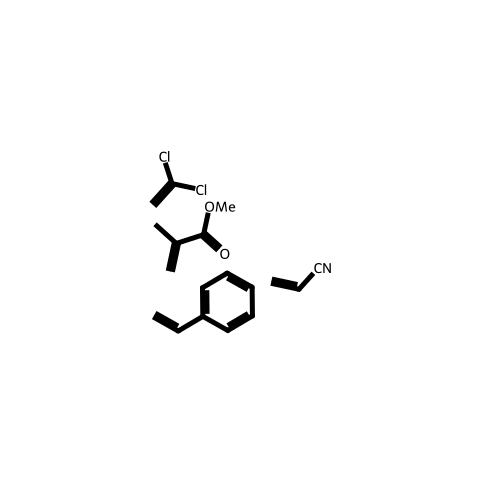 C=C(C)C(=O)OC.C=C(Cl)Cl.C=CC#N.C=Cc1ccccc1